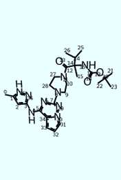 Cc1cc(Nc2nc(N3CCN(C(=O)C(C)(NC(=O)OC(C)(C)C)C(C)C)CC3)nn3cccc23)n[nH]1